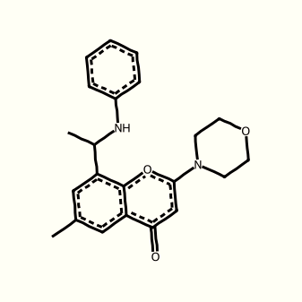 Cc1cc(C(C)Nc2ccccc2)c2oc(N3CCOCC3)cc(=O)c2c1